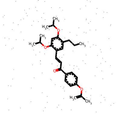 C=C(C)Oc1ccc(C(=O)C=Cc2cc(CCC)c(OC(C)C)cc2OC(C)C)cc1